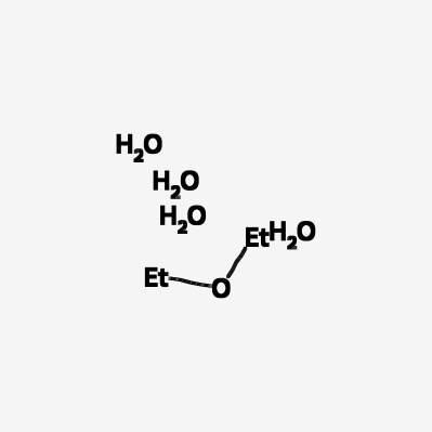 CCOCC.O.O.O.O